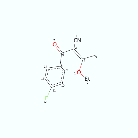 CCOC(C)=C(C#N)C(=O)c1ccc(F)cc1